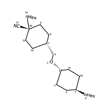 CCCCCC[C@H]1CC[C@H](OC[C@H]2CC[C@@](C#N)(CCCCCC)CC2)CC1